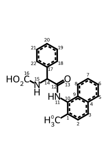 Cc1ccc2ccccc2c1NC(=O)C(NC(=O)O)c1ccccc1